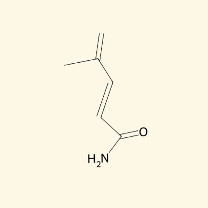 C=C(C)C=CC(N)=O